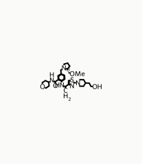 C=C(Nc1ccc(CN2CCC[C@@H]2COC)cc1C(=O)NC1CCOCC1)c1csc(N2CCC(CCO)CC2)n1